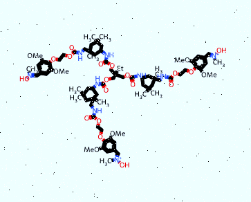 CCC(COC(=O)NC1CC(C)(C)CC(C)(CNC(=O)OCCOc2c(OC)cc(/C=[N+](\C)O)cc2OC)C1)(COC(=O)NC1CC(C)(C)CC(C)(CNC(=O)OCCOc2c(OC)cc(/C=[N+](\C)O)cc2OC)C1)COC(=O)NC1CC(C)(C)CC(C)(CNC(=O)OCCOc2c(OC)cc(/C=[N+](\C)O)cc2OC)C1